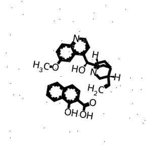 C=C[C@@H]1CN2CCC1C[C@H]2[C@@H](O)c1ccnc2ccc(OC)cc12.O=C(O)c1ccc2ccccc2c1O